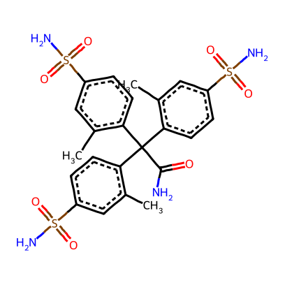 Cc1cc(S(N)(=O)=O)ccc1C(C(N)=O)(c1ccc(S(N)(=O)=O)cc1C)c1ccc(S(N)(=O)=O)cc1C